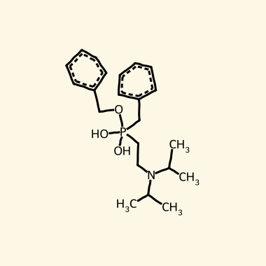 CC(C)N(CCP(O)(O)(Cc1ccccc1)OCc1ccccc1)C(C)C